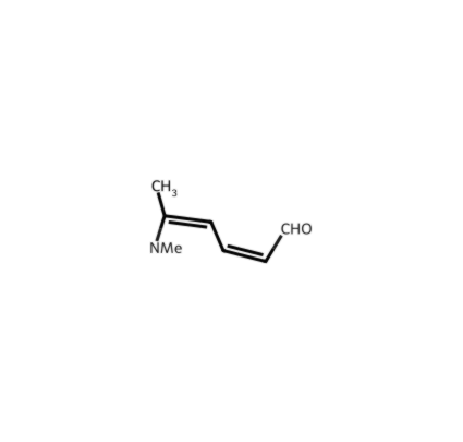 CN/C(C)=C\C=C/C=O